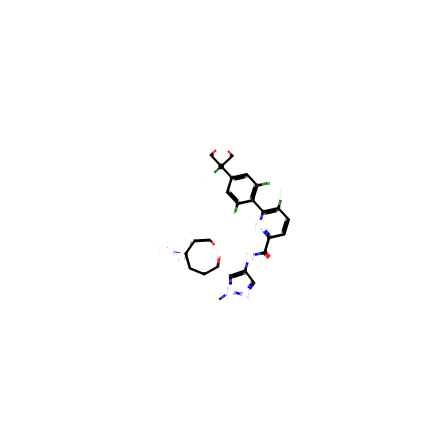 Cn1ncc(NC(=O)c2ccc(F)c(-c3c(F)cc(C4(F)COC4)cc3F)n2)c1[C@@H]1CC[C@@H](N)[C@H](F)CO1